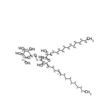 CCCCCCCCC/C=C/CC/C=C/[C@@H](O)[C@H](CO[C@@H]1O[C@H](CO)C(O)C(O)C1O)NC(=O)C(O)CCCCCCCCCCCCCC